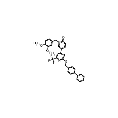 COc1ccc(Cn2cc(-c3cc(C(F)(F)F)nc(SCc4ccc(-c5ccccc5)cc4)n3)ccc2=O)cc1OC